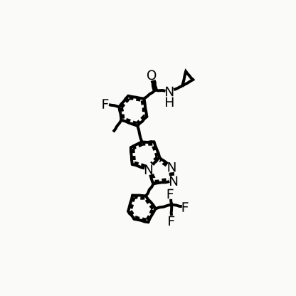 Cc1c(F)cc(C(=O)NC2CC2)cc1-c1ccn2c(-c3ccccc3C(F)(F)F)nnc2c1